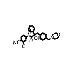 N#Cc1ccc(NC(=O)C(O)(Cc2ccc(CN3CCOCC3)cc2)c2ccccc2)cc1Cl